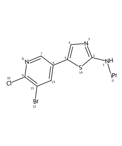 CC(C)Nc1ncc(-c2cnc(Cl)c(Br)c2)s1